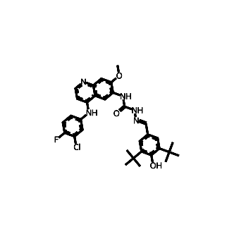 COc1cc2nccc(Nc3ccc(F)c(Cl)c3)c2cc1NC(=O)N/N=C/c1cc(C(C)(C)C)c(O)c(C(C)(C)C)c1